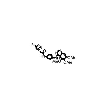 COc1cc2ncnc(Nc3ccc(NC(=O)Cn4cc(C(C)C)nn4)cc3)c2c(OC)c1OC